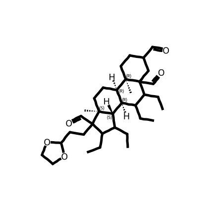 CCC1C(CC)C2(C=O)CC(C=O)CC[C@]2(C)[C@@H]2CC[C@@]3(C)[C@@H](C(CC)C(CC)C3(C=O)CCC3OCCO3)[C@H]12